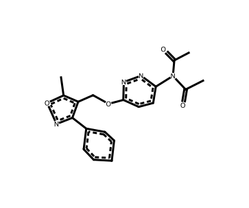 CC(=O)N(C(C)=O)c1ccc(OCc2c(-c3ccccc3)noc2C)nn1